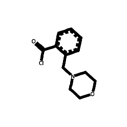 O=C(Cl)c1ccccc1CN1CCOCC1